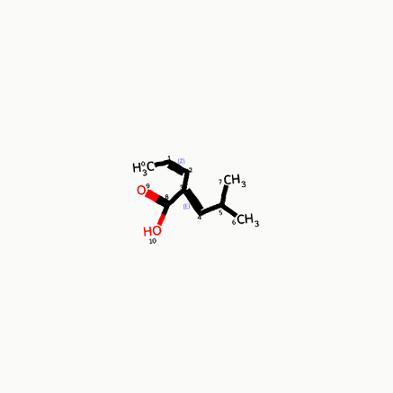 C/C=C\C(=C/C(C)C)C(=O)O